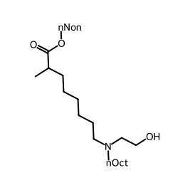 CCCCCCCCCOC(=O)C(C)CCCCCCN(CCO)CCCCCCCC